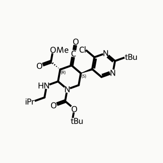 COC(=O)[C@@H]1C(=C=O)[C@@H](c2cnc(C(C)(C)C)nc2Cl)CN(C(=O)OC(C)(C)C)C1NCC(C)C